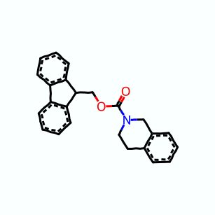 O=C(OCC1c2ccccc2-c2ccccc21)N1CCc2ccccc2C1